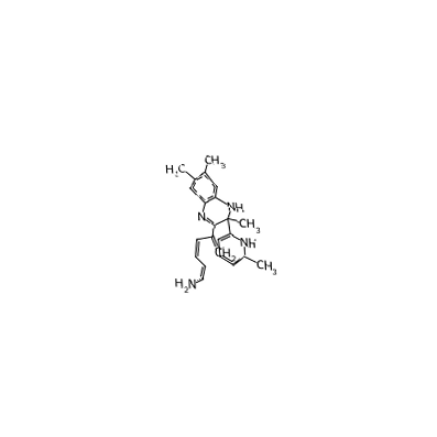 C=C(/C=C\C=C/N)C1=Nc2cc(C)c(C)cc2NC1(C)C1=CC=CC(C)N1